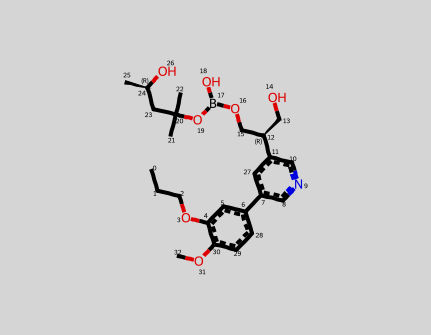 CCCOc1cc(-c2cncc([C@H](CO)COB(O)OC(C)(C)C[C@@H](C)O)c2)ccc1OC